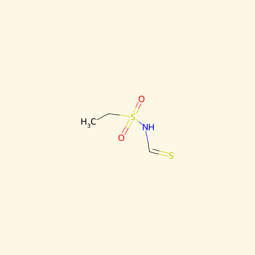 CCS(=O)(=O)NC=S